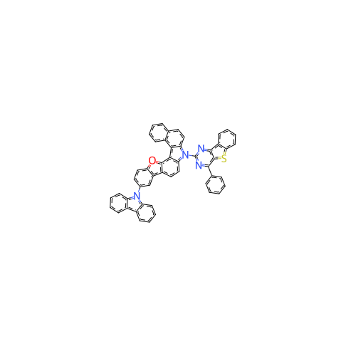 c1ccc(-c2nc(-n3c4ccc5ccccc5c4c4c5oc6ccc(-n7c8ccccc8c8ccccc87)cc6c5ccc43)nc3c2sc2ccccc23)cc1